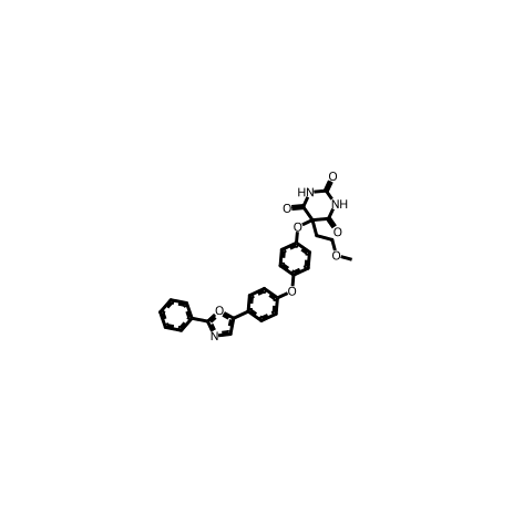 COCCC1(Oc2ccc(Oc3ccc(-c4cnc(-c5ccccc5)o4)cc3)cc2)C(=O)NC(=O)NC1=O